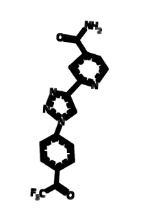 NC(=O)c1ccnc(-c2cn(-c3ccc(C(=O)C(F)(F)F)cc3)nn2)c1